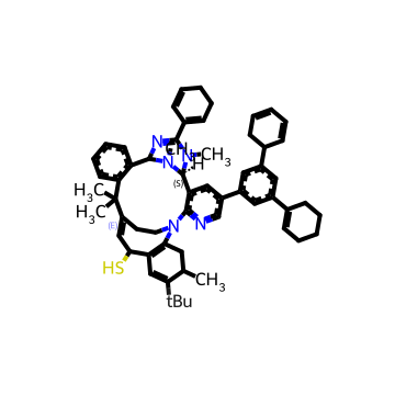 CC1CC2=C(C=C1C(C)(C)C)C(S)/C=C1\CCN2c2ncc(-c3cc(C4=CCCCC4)cc(C4C=CC=CC4)c3)cc2[C@@H]2N(C)C(C3=CCCC=C3)=NC(c3ccccc3C1(C)C)N2C